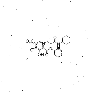 O=C(O)c1cn2c(c(O)c1=O)C(=O)N(c1ccccc1)C(C(=O)NC1CCCCC1)C2